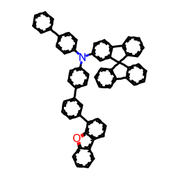 c1ccc(-c2ccc(N(c3ccc(-c4cccc(-c5cccc6c5oc5ccccc56)c4)cc3)c3ccc4c(c3)C3(c5ccccc5-c5ccccc53)c3ccccc3-4)cc2)cc1